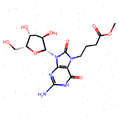 COC(=O)CCCn1c(=O)n([C@@H]2O[C@H](CO)[C@H](O)[C@H]2O)c2nc(N)[nH]c(=O)c21